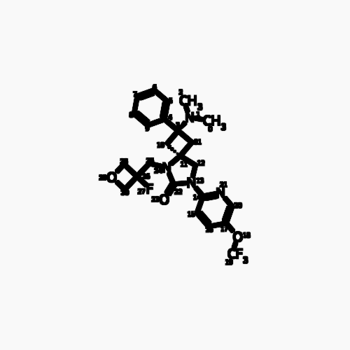 CN(C)[C@]1(c2ccccc2)C[C@@]2(CN(c3ccc(OC(F)(F)F)cn3)C(=O)N2CC2(F)COC2)C1